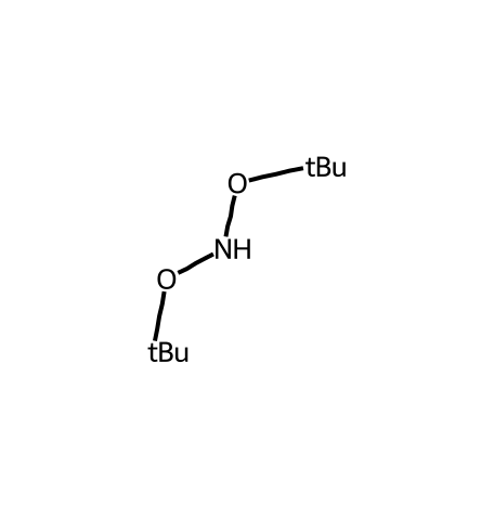 CC(C)(C)ONOC(C)(C)C